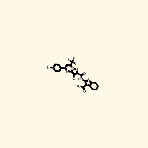 O=C(Nc1sc2c(c1C(=O)O)CCCC2)c1nn2c(C(F)(F)F)cc(-c3ccc(Br)cc3)nc2c1Cl